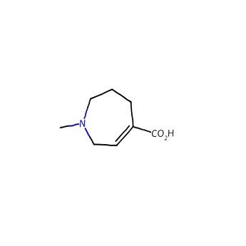 CN1CC=C(C(=O)O)CCC1